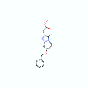 COC(=O)Cc1nc2cc(OCc3ccccc3)ccn2c1C